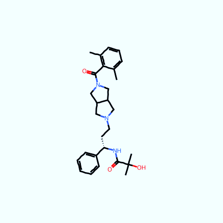 Cc1cccc(C)c1C(=O)N1CC2CN(CC[C@H](NC(=O)C(C)(C)O)c3ccccc3)CC2C1